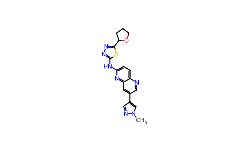 Cn1cc(-c2cnc3ccc(Nc4nnc(C5CCCO5)s4)nc3c2)cn1